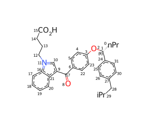 CCC[C@@H](Oc1ccc(C(=O)c2cn(CCCC(=O)O)c3ccccc23)cc1)c1ccc(CC(C)C)cc1